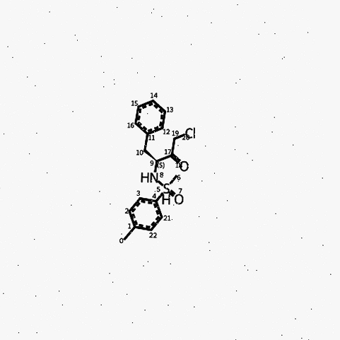 Cc1ccc([SH](C)(=O)N[C@@H](Cc2ccccc2)C(=O)CCl)cc1